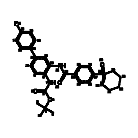 CC(C)(C)OC(=O)Nc1ccc(-c2ccc(F)cc2)cc1NC(=O)c1ccc(S2(=O)=NCCCC2)cc1